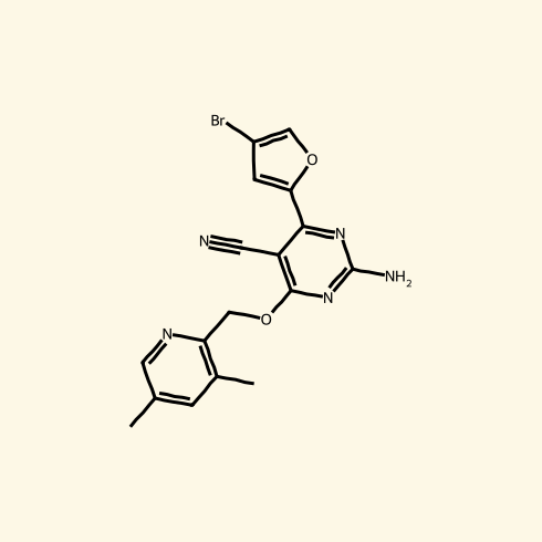 Cc1cnc(COc2nc(N)nc(-c3cc(Br)co3)c2C#N)c(C)c1